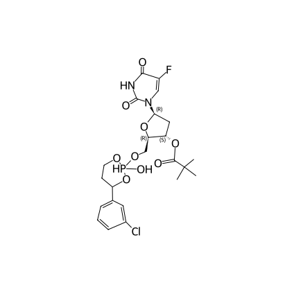 CC(C)(C)C(=O)O[C@H]1C[C@H](n2cc(F)c(=O)[nH]c2=O)O[C@@H]1CO[PH]1(O)OCCC(c2cccc(Cl)c2)O1